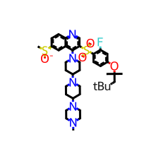 CN1CCN(C2CCN(C3CCN(c4c(S(=O)(=O)c5ccc(OC(C)(C)CC(C)(C)C)cc5F)cnc5ccc([S+](C)[O-])cc45)CC3)CC2)CC1